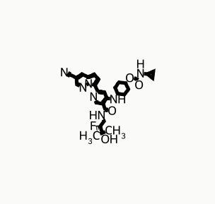 CC(C)(O)[C@H](F)CNC(=O)c1cnc(-c2ccc3cc(C#N)cnn23)cc1N[C@H]1CC[C@@H](OC(=O)NC2CC2)CC1